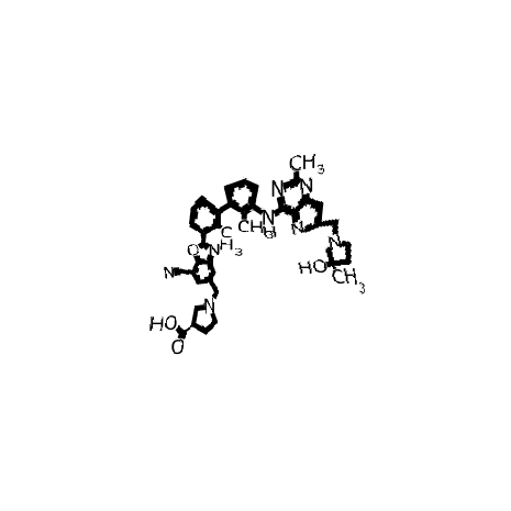 Cc1nc(Nc2cccc(-c3cccc(-c4nc5cc(CN6CC[C@@H](C(=O)O)C6)cc(C#N)c5o4)c3C)c2C)c2ncc(CN3CC[C@](C)(O)C3)cc2n1